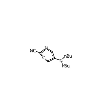 CCCCN(CCCC)c1ccc(C#N)nc1